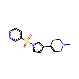 CN1CC=C(c2ccn(S(=O)(=O)c3cccnc3)c2)CC1